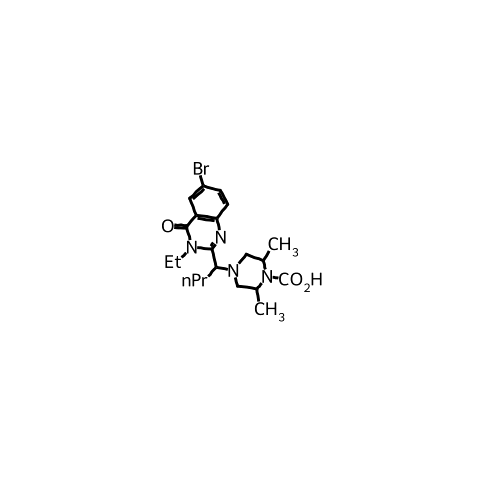 CCCC(c1nc2ccc(Br)cc2c(=O)n1CC)N1CC(C)N(C(=O)O)C(C)C1